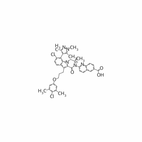 Cc1cc(OCCCc2c3n(c4c(-c5c(C)nn(C)c5C)c(Cl)ccc24)C[C@@H](C)N(c2ccc4cc(C(=O)O)ccc4n2)C3=O)cc(C)c1Cl